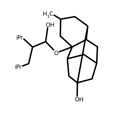 CC(C)CC(C(C)C)C(O)OC12CC(C)CC3C1CC1CC2CC3(O)C1